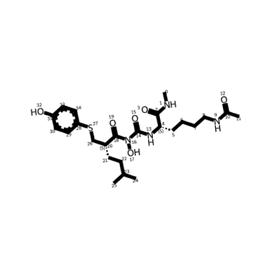 CNC(=O)[C@H](CCCCNC(C)=O)NC(=O)N(O)C(=O)[C@H](CCC(C)C)CSc1ccc(O)cc1